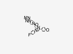 COc1ccc(-c2cn(-c3ccc(F)cc3)c(CC(=O)N3CCN(c4ncncn4)CC3)n2)cc1